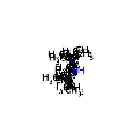 CC(C)(C)C1=CC=C2C(C1)c1cc(C(C)(C)C)ccc1N2C1=CC2C(C=C1)NC1=CC=C(n3c4ccc(C(C)(C)C)cc4c4cc(C(C)(C)C)ccc43)CC1C2(C)C